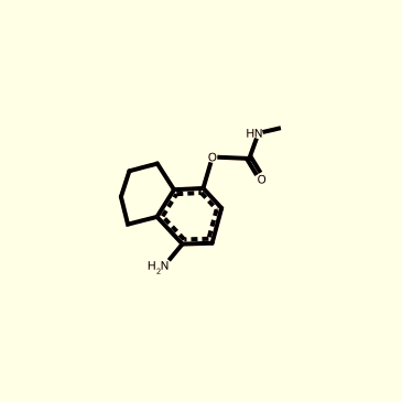 CNC(=O)Oc1ccc(N)c2c1CCCC2